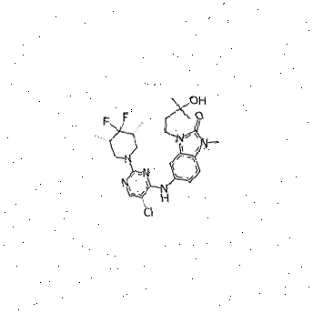 C[C@@H]1CN(c2ncc(Cl)c(Nc3ccc4c(c3)n(CCC(C)(C)O)c(=O)n4C)n2)C[C@H](C)C1(F)F